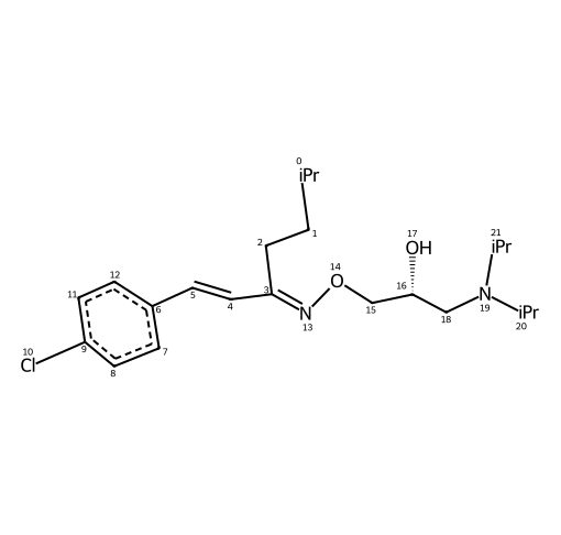 CC(C)CCC(/C=C/c1ccc(Cl)cc1)=N\OC[C@H](O)CN(C(C)C)C(C)C